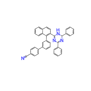 N#Cc1ccc(-c2cccc(-c3c(C4=NC(c5ccccc5)=NC(c5ccccc5)N4)ccc4ccccc34)c2)cc1